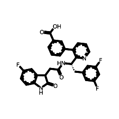 O=C(CC1C(=O)Nc2ccc(F)cc21)N[C@@H](Cc1cc(F)cc(F)c1)c1ncccc1-c1cccc(C(=O)O)c1